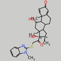 C[C@@H]1CC2C3CCC4=CC(=O)C=CC4(C)C3[C@@H](O)CC2(C)[C@@]1(O)C(=O)CSc1nc2ccccc2n1C